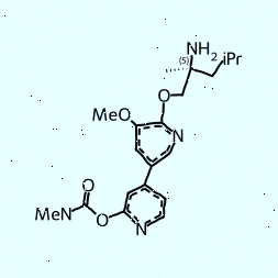 CNC(=O)Oc1cc(-c2cnc(OC[C@@](C)(N)CC(C)C)c(OC)c2)ccn1